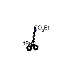 CCOC(=O)/C=C/CCCCCO[Si](c1ccccc1)(c1ccccc1)C(C)(C)C